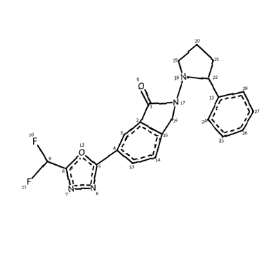 O=C1c2cc(-c3nnc(C(F)F)o3)ccc2CN1N1CCCC1c1ccccc1